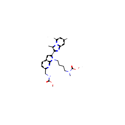 COc1cc(C(=O)O)cc2nc(-c3cc4ccc([C@@H](C)NC(=O)OC(C)(C)C)nc4n3CCCCN(C)C(=O)OC(C)(C)C)c(C)n12